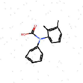 Cc1cccc(N(C(=O)O)c2ccccc2)c1C